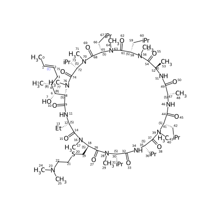 C/C=C/C[C@@H](C)[C@@H](O)[C@H]1C(=O)N[C@@H](CC)C(=O)N(C)[C@H](CSCCN(C)C)C(=O)N(C)[C@@H](C(C)C)C(=O)N[C@@H](C(C)C)C(=O)N(C)[C@@H](CC(C)C)C(=O)N[C@@H](C)C(=O)N[C@H](C)C(=O)N(C)[C@@H](CC(C)C)C(=O)N(C)[C@@H](CC(C)C)C(=O)N(C)[C@@H](C(C)C)C(=O)N1C